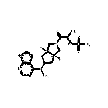 CC(NS(C)(=O)=O)C(=O)N1C[C@H]2CC(N(C)c3ncnc4[nH]ccc34)C[C@H]2C1